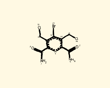 NC(=O)c1nc(C(N)=O)c(CCl)c(Br)c1CCl